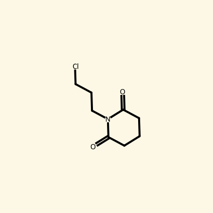 O=C1CCCC(=O)N1CCCCl